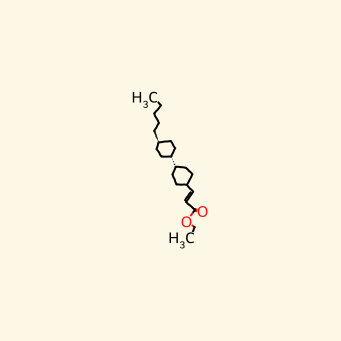 CCCCC[C@H]1CC[C@H](C2CCC(/C=C/C(=O)OCC)CC2)CC1